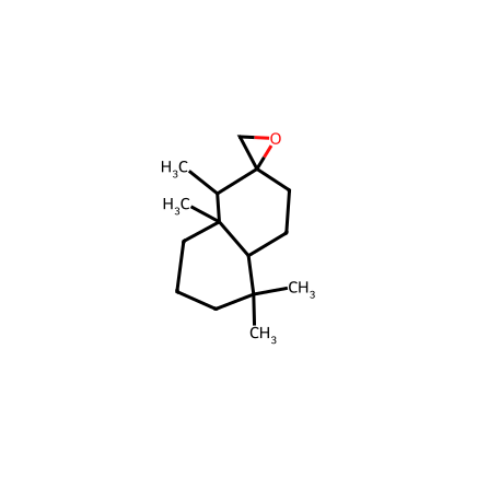 CC1C2(CCC3C(C)(C)CCCC31C)CO2